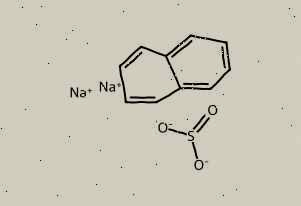 O=S([O-])[O-].[Na+].[Na+].c1ccc2ccccc2c1